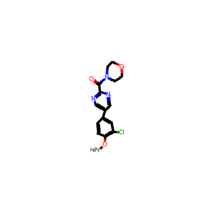 CCCOc1ccc(-c2cnc(C(=O)N3CCOCC3)nc2)cc1Cl